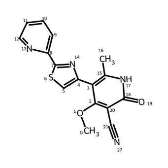 COc1c(-c2csc(-c3ccccn3)n2)c(C)[nH]c(=O)c1C#N